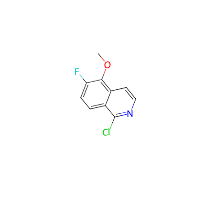 COc1c(F)ccc2c(Cl)nccc12